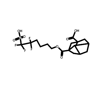 O=C(O)C12CC3CC(C1)CC(C(=O)OCCCCC(F)(F)C(F)(F)S(=O)(=O)O)(C3)C2